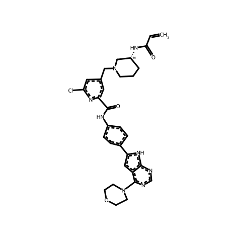 C=CC(=O)N[C@@H]1CCCN(Cc2cc(Cl)nc(C(=O)Nc3ccc(-c4cc5c(N6CCOCC6)ncnc5[nH]4)cc3)c2)C1